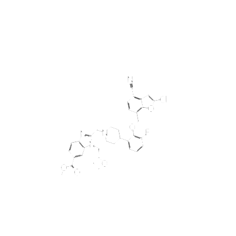 COC(=O)c1ccc2nc(CN3CCC(c4cccc(F)c4OCc4ccc(C#N)c5cc(Cl)oc45)CC3)n(C[C@@H]3CCO3)c2c1